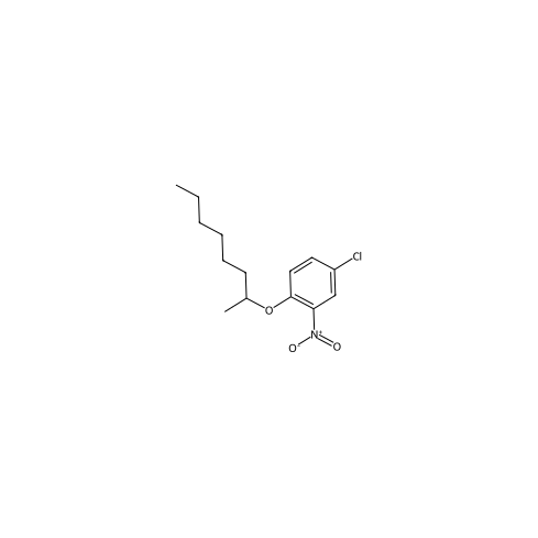 CCCCCCC(C)Oc1ccc(Cl)cc1[N+](=O)[O-]